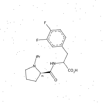 CC(C)N1CCC[C@@H]1C(=O)NC(Cc1ccc(F)c(F)c1)C(=O)O